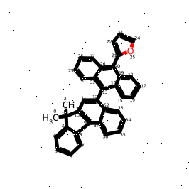 CC1(C)c2ccccc2-c2c1cc(-c1c3ccccc3c(-c3ccco3)c3ccccc13)c1ccccc21